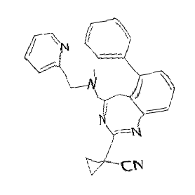 CN(Cc1ccccn1)c1nc(C2(C#N)CC2)nc2cccc(-c3ccccc3)c12